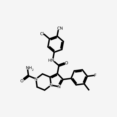 Cc1cc(-c2nn3c(c2C(=O)Nc2ccc(C#N)c(Cl)c2)CN(C(N)=O)CC3)ccc1F